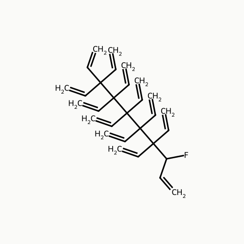 C=CC(F)C(C=C)(C=C)C(C=C)(C=C)C(C=C)(C=C)C(C=C)(C=C)C(C=C)(C=C)C=C